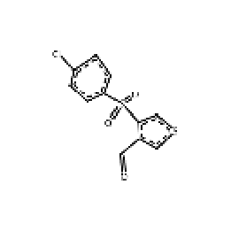 O=Cc1cscc1S(=O)(=O)c1ccc(Cl)cc1